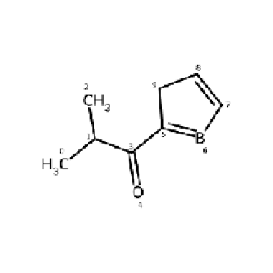 CC(C)C(=O)C1=BC=CC1